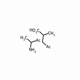 CC(=O)C(C)N.CC(=O)CC(C)C(=O)O